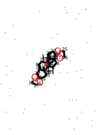 C#CC12CC[C@H]3[C@@H](CC=C4CC5(CCC43C)OCCO5)[C@@H]1CCC21OCCO1